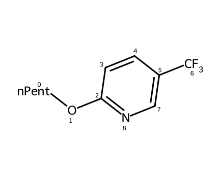 CCCCCOc1ccc(C(F)(F)F)cn1